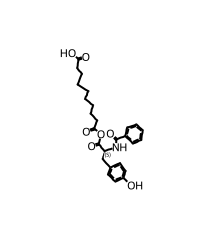 O=C(O)CCCCCCCCC(=O)OC(=O)[C@H](Cc1ccc(O)cc1)NC(=O)c1ccccc1